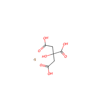 O=C(O)CC(O)(CC(=O)O)C(=O)O.[S]